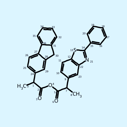 CC(C(=O)OC(=O)C(C)c1ccc2sc(-c3ccccc3)nc2c1)c1ccc2c(c1)Cc1ccccc1-2